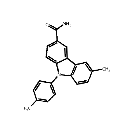 Cc1ccc2c(c1)c1cc(C(N)=O)ccc1n2-c1ccc(C(F)(F)F)cc1